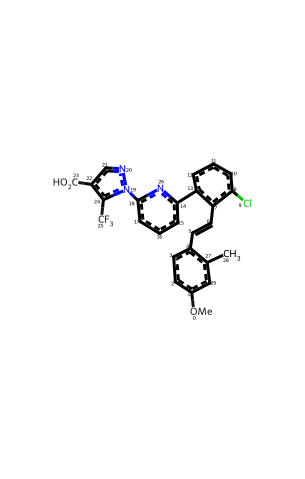 COc1ccc(C=Cc2c(Cl)cccc2-c2cccc(-n3ncc(C(=O)O)c3C(F)(F)F)n2)c(C)c1